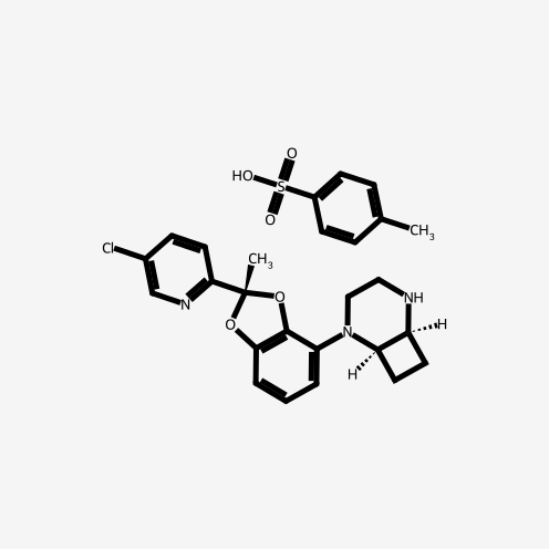 C[C@]1(c2ccc(Cl)cn2)Oc2cccc(N3CCN[C@H]4CC[C@H]43)c2O1.Cc1ccc(S(=O)(=O)O)cc1